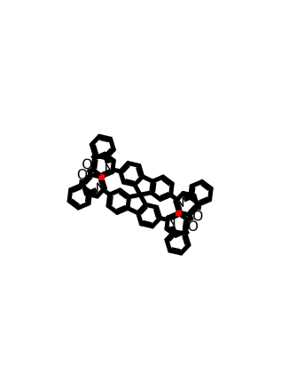 c1ccc2c(c1)Oc1ccccc1N2c1ccc2c(c1)C1(c3cc(N4c5ccccc5Oc5ccccc54)ccc3-2)c2cc(N3c4ccccc4Oc4ccccc43)ccc2-c2ccc(N3c4ccccc4Oc4ccccc43)cc21